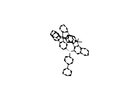 CC1(C)c2ccc(-c3ccccc3)cc2-c2c(N(c3ccc(-c4ccccc4)cc3)c3ccc4c(c3)C3(c5ccccc5-c5ccccc53)c3ccccc3-4)cc3ccccc3c21